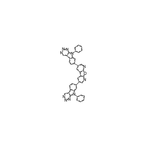 c1ccc(-n2c3cc(-c4cnc5oc6ncc(-c7ccc8c9cnnnc9n(-c9ccccc9)c8c7)cc6c5c4)ccc3c3cnnnc32)cc1